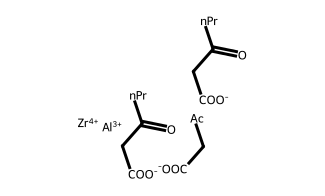 CC(=O)CC(=O)[O-].CCCC(=O)CC(=O)[O-].CCCC(=O)CC(=O)[O-].[Al+3].[Zr+4]